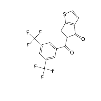 O=C(c1cc(C(F)(F)F)cc(C(F)(F)F)c1)C1Cc2sccc2C1=O